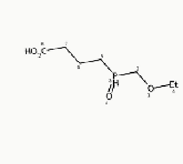 CCOC[PH](=O)CCCC(=O)O